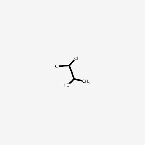 CC(C)[C](Cl)Cl